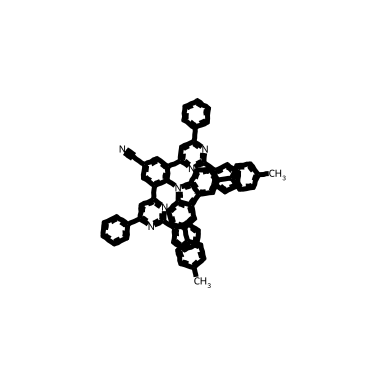 Cc1ccc(-c2ccc3c(c2)c2cc(-c4ccc(C)cc4)ccc2n3-c2c(-c3cc(-c4ccccc4)nc(-c4ccccc4)n3)cc(C#N)cc2-c2cc(-c3ccccc3)nc(-c3ccccc3)n2)cc1